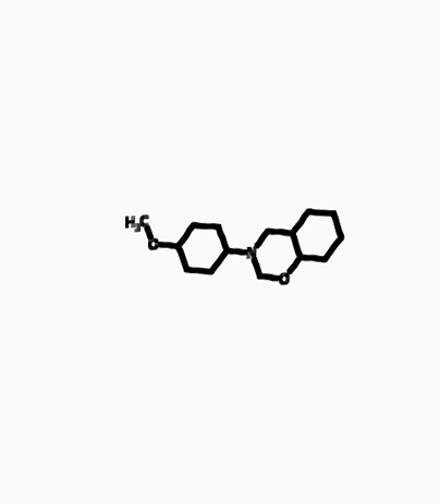 COC1CCC(N2COC3CCCCC3C2)CC1